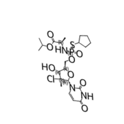 CC(C)OC(=O)[C@@H](C)N[P@@](=O)(OC[C@H]1O[C@@H](n2ccc(=O)[nH]c2=O)[C@](C)(Cl)[C@@H]1O)SC1CCCC1